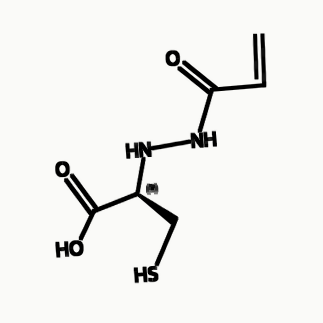 C=CC(=O)NN[C@@H](CS)C(=O)O